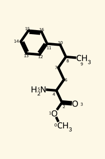 COC(=O)C(N)CCC(C)Cc1ccccc1